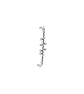 C=COCCCCOC(=O)CCC(=O)NCCNC(=O)CC(=O)OCCCCOC=C